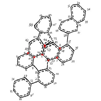 c1ccc(-c2ccccc2-c2c(-c3ccccc3)cccc2N(c2cccc(-c3ccc4ccccc4c3)c2)c2cccc3c2sc2ccccc23)cc1